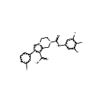 NC(=O)c1c(-c2cccc(F)c2)nn2c1CN(C(=O)Nc1cc(F)c(F)c(F)c1)CC2